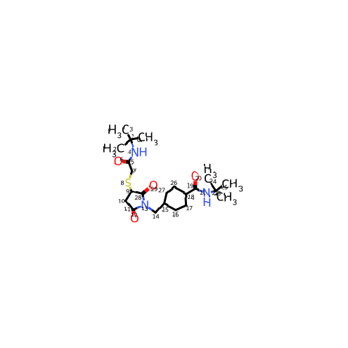 CC(C)(C)NC(=O)CSC1CC(=O)N(CC2CCC(C(=O)NC(C)(C)C)CC2)C1=O